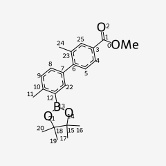 COC(=O)c1ccc(-c2ccc(C)c(B3OC(C)(C)C(C)(C)O3)c2)c(C)c1